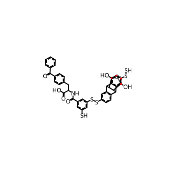 O=C(NC(Cc1ccc(C(=O)c2ccccc2)cc1)C(=O)O)c1cc(S)cc(SSc2ccc3c(c2)C2c4ccc(SS)cc4C3C(C(=O)O)C2C(=O)O)c1